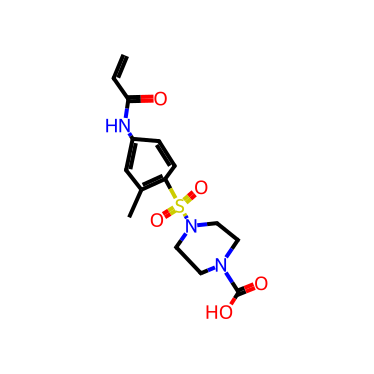 C=CC(=O)Nc1ccc(S(=O)(=O)N2CCN(C(=O)O)CC2)c(C)c1